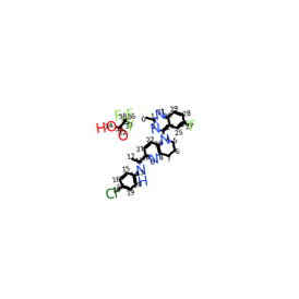 Cc1nc(N2CCCc3nc(C(C)Nc4ccc(Cl)cc4)ccc32)c2cc(F)ccc2n1.O=C(O)C(F)(F)F